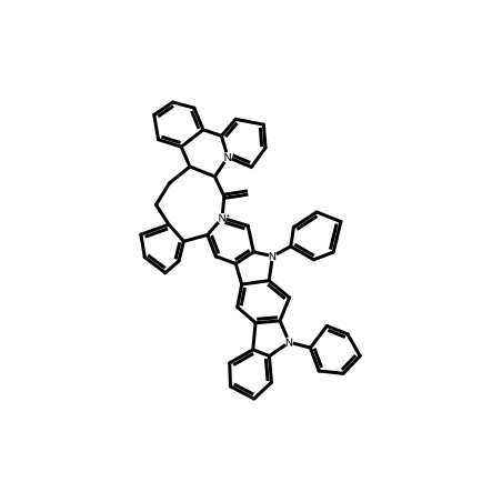 C=C1C2C(CCc3ccccc3-c3cc4c5cc6c7ccccc7n(-c7ccccc7)c6cc5n(-c5ccccc5)c4c[n+]31)c1ccccc1-c1cccc[n+]12